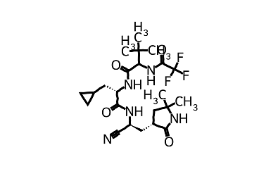 CC1(C)C[C@@H](C[C@@H](C#N)NC(=O)[C@H](CC2CC2)NC(=O)C(NC(=O)C(F)(F)F)C(C)(C)C)C(=O)N1